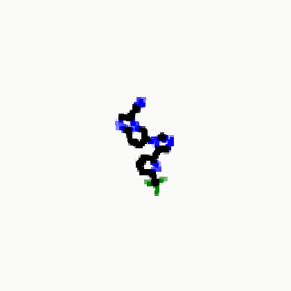 N#Cc1cnc2ccc(-n3cncc3-c3cccc(C(F)(F)F)n3)cn12